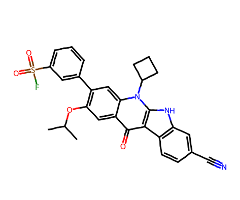 CC(C)Oc1cc2c(=O)c3c4ccc(C#N)cc4[nH]c3n(C3CCC3)c2cc1-c1cccc(S(=O)(=O)F)c1